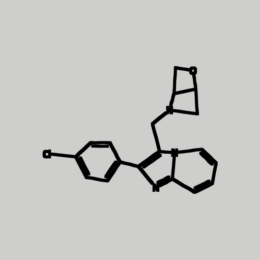 Clc1ccc(-c2nc3ccccn3c2CN2CC3OCC32)cc1